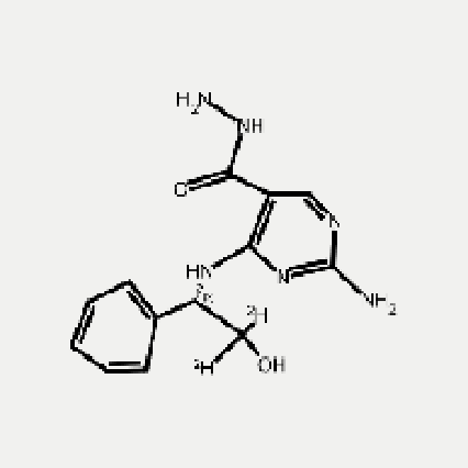 [2H]C([2H])(O)[C@@H](Nc1nc(N)ncc1C(=O)NN)c1ccccc1